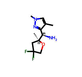 Cc1cn(C)nc1[C@@H](N)[C@]1(C)CC(F)(F)CO1